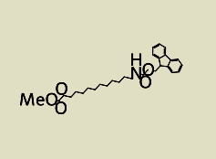 COC(=O)C(=O)CCCCCCCCCCCNC(=O)OCC1c2ccccc2-c2ccccc21